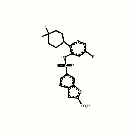 CCOC(=O)c1cc2ccc(S(=O)(=O)Nc3cc(F)cnc3N3CCC(F)(F)CC3)cc2o1